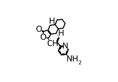 C[C@H]1OC(=O)C2=C1[C@@H](/C=C/c1ccc(N)cn1)[C@@H]1CCCC[C@H]1C2